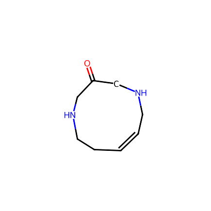 O=C1CNC/C=C\CCNC1